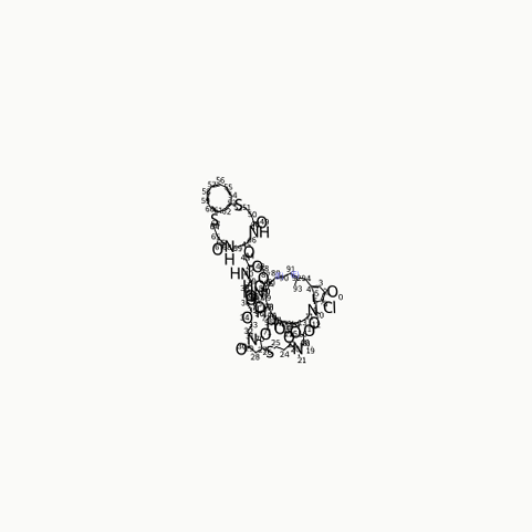 COc1cc2cc(c1Cl)N(C)C(=O)C[C@H](OC(=O)[C@H](C)N(C)C(=O)CCSC1CC(=O)N(CCOCCOCCNC(=O)COC3CNC(=O)CCSc4cccccccc(c4)SCCC(=O)NC3)C1=O)[C@]1(C)O[C@H]1[C@H](C)[C@@H]1C[C@@](O)(NC(=O)O1)[C@H](OC)/C=C/C=C(\C)C2